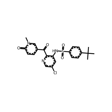 Cn1cc(C(=O)c2ncc(Cl)cc2NS(=O)(=O)c2ccc(C(C)(C)C)cc2)ccc1=O